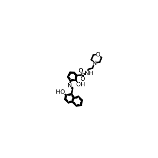 O=S(=O)(NCCN1CCOCC1)c1cccc(N=Cc2c(O)ccc3ccccc23)c1O